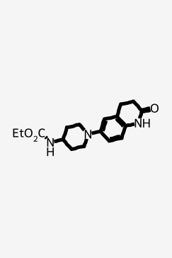 CCOC(=O)NC1CCN(c2ccc3c(c2)CCC(=O)N3)CC1